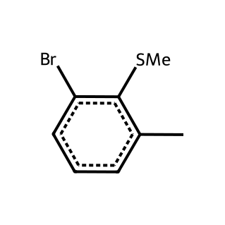 CSc1c(C)cccc1Br